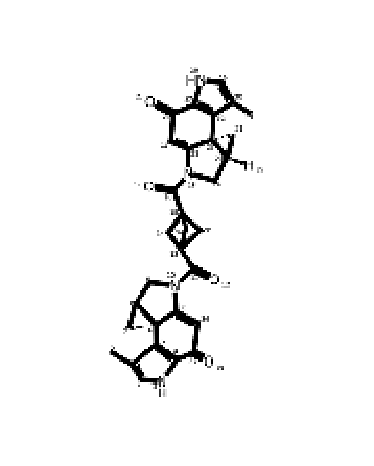 Cc1c[nH]c2c1[C@@]13CC1CN(C(=O)C14CC(C(=O)N5C[C@H]6C[C@@]67C5=CC(=O)c5[nH]cc(C)c57)(C1)C4)C3=CC2=O